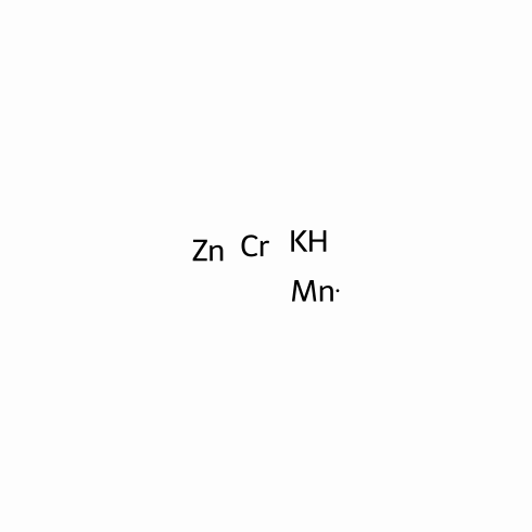 [Cr].[KH].[Mn].[Zn]